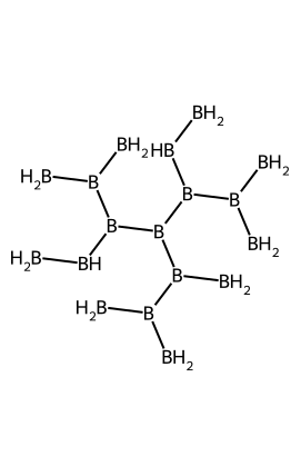 BBB(B(B)B)B(B(B)B(B)B)B(BB)B(B)B